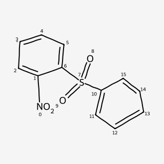 O=[N+]([O-])c1c[c]ccc1S(=O)(=O)c1ccccc1